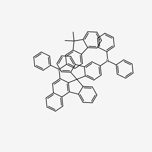 CC1(C)c2ccccc2-c2ccc(N(c3ccccc3)c3cc4ccccc4c4c3C3(c5ccccc5-c5cc(N(c6ccccc6)c6ccccc6)ccc53)c3ccccc3-4)cc21